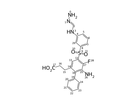 NN=CNc1cccc(S(=O)(=O)c2cc(CCC(=O)O)c(-c3ccccc3)c(N)c2F)c1